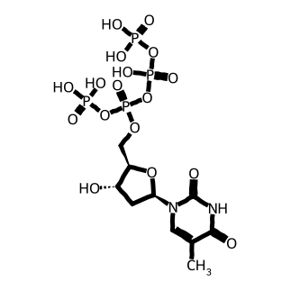 Cc1cn([C@H]2C[C@H](O)[C@@H](COP(=O)(OP(=O)(O)O)OP(=O)(O)OP(=O)(O)O)O2)c(=O)[nH]c1=O